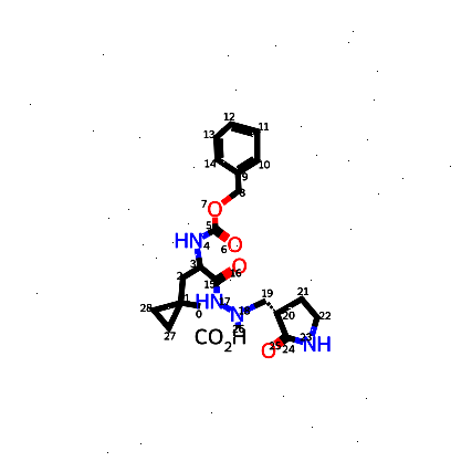 CC1(CC(NC(=O)OCc2ccccc2)C(=O)NN(C[C@@H]2CCNC2=O)C(=O)O)CC1